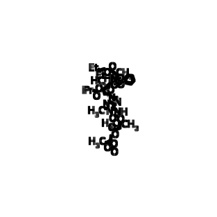 C#C[C@]1(COP(=O)(N[C@@H](C)C(=O)OCC(CC)CC)Oc2ccccc2)O[C@@H](n2cnc3c(NC(=O)OC(C)(C)CC(=O)OCc4oc(=O)oc4C)nc(C)nc32)C[C@@H]1OC(=O)C(C)C